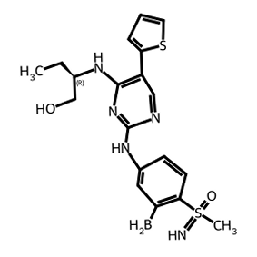 Bc1cc(Nc2ncc(-c3cccs3)c(N[C@H](CC)CO)n2)ccc1S(C)(=N)=O